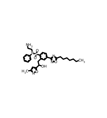 CCCCCCCc1nc(-c2ccc(S(=O)(=O)N(CCN)c3ccccc3)c(CC(O)c3cc(C)no3)c2)no1